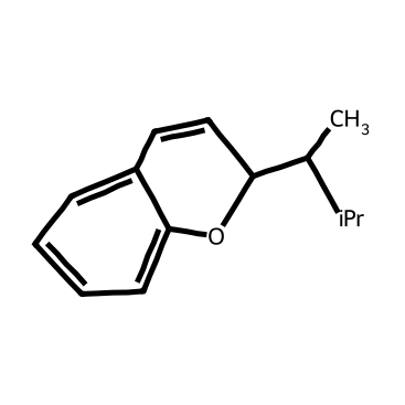 CC(C)C(C)C1C=Cc2ccccc2O1